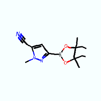 Cn1nc(B2OC(C)(C)C(C)(C)O2)cc1C#N